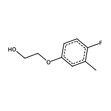 Cc1cc(OCCO)ccc1F